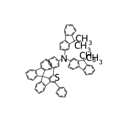 CC1(C)c2ccccc2-c2ccc(N(c3cccc(-c4sc(-c5ccccc5)c5c4C4(c6ccccc6-c6ccccc64)c4ccccc4-5)c3)c3ccc4c(c3)C(C)(C)c3ccccc3-4)cc21